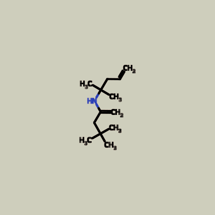 C=CCC(C)(C)NC(=C)CC(C)(C)C